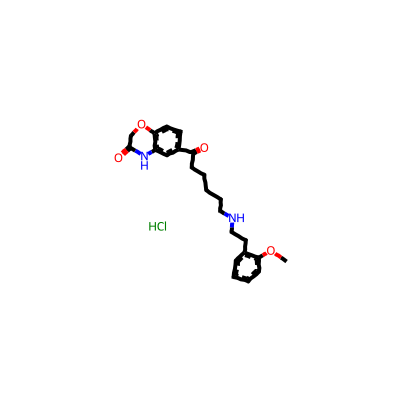 COc1ccccc1CCNCCCCCC(=O)c1ccc2c(c1)NC(=O)CO2.Cl